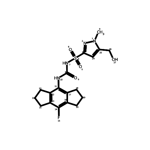 Cn1nc(S(=O)(=O)NC(=O)Nc2c3c(c(F)c4c2CCC4)CCC3)cc1CO